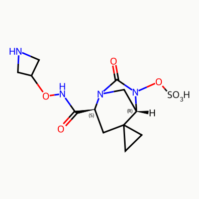 O=C(NOC1CNC1)[C@@H]1CC2(CC2)[C@@H]2CN1C(=O)N2OS(=O)(=O)O